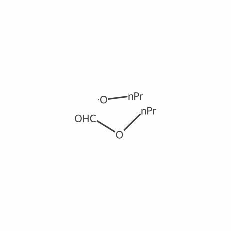 CCCOC=O.CCC[O]